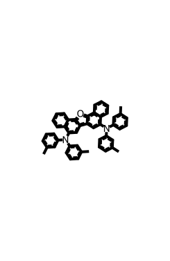 Cc1cccc(N(c2cccc(C)c2)c2cc3c4cc(N(c5cccc(C)c5)c5cccc(C)c5)c5ccccc5c4oc3c3ccccc23)c1